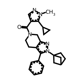 Cn1ncc(C(=O)N2CCc3c(nn(C45CCC(C4)C5)c3-c3ccccc3)C2)c1C1CC1